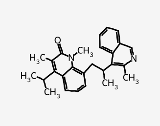 Cc1ncc2ccccc2c1C(C)Cc1cccc2c(C(C)C)c(C)c(=O)n(C)c12